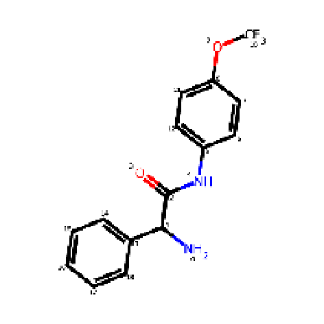 NC(C(=O)Nc1ccc(OC(F)(F)F)cc1)c1ccccc1